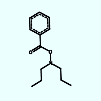 CCCN(CCC)OC(=O)c1ccccc1